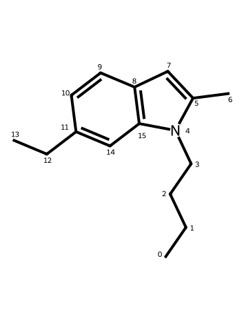 CCCCn1c(C)cc2ccc(CC)cc21